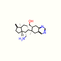 C=C1CC[C@H]2[C@@H](CN)[C@@H]([C@]3(C)Cc4cncnc4C[C@@H]3CO)CC[C@]12C